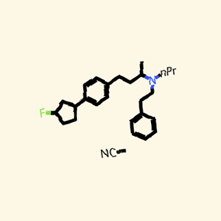 CC#N.CCCN(CCc1ccccc1)C(C)CCc1ccc(C2CCC(F)C2)cc1